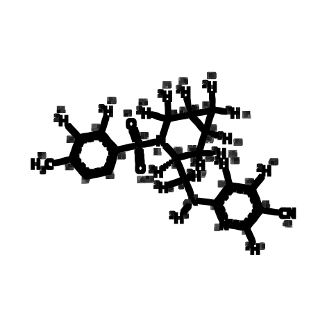 [2H]c1nc(N([2H])C([2H])([2H])[C@@]2([2H])N(S(=O)(=O)c3ccc(C)c([2H])c3[2H])C([2H])([2H])[C@]3([2H])C([2H])([2H])[C@]3([2H])C2([2H])[2H])c([2H])c([2H])c1C#N